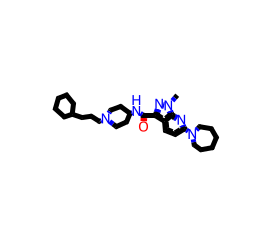 Cn1nc(C(=O)NC2CCN(CCCC3CCCCC3)CC2)c2ccc(N3CCCCCC3)nc21